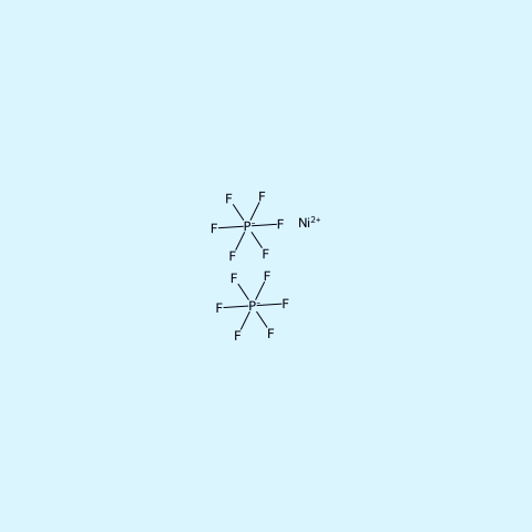 F[P-](F)(F)(F)(F)F.F[P-](F)(F)(F)(F)F.[Ni+2]